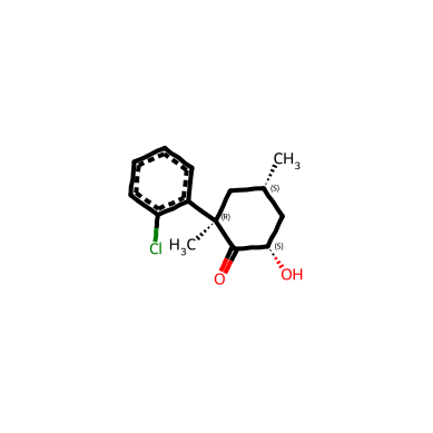 C[C@@H]1C[C@H](O)C(=O)[C@@](C)(c2ccccc2Cl)C1